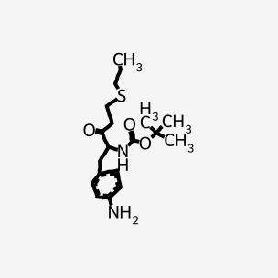 CCCSCCC(=O)C(Cc1ccc(N)cc1)NC(=O)OC(C)(C)C